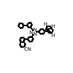 N#Cc1ccc2cccc(-c3cccc(-c4nc(-c5ccc(C67C[C@H]8C[C@@H](C6)C[C@@H](C7)C8)cc5)nc(-c5cccc(-c6ccccc6)c5)n4)c3)c2c1